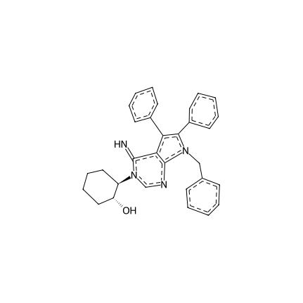 N=c1c2c(-c3ccccc3)c(-c3ccccc3)n(Cc3ccccc3)c2ncn1[C@@H]1CCCC[C@H]1O